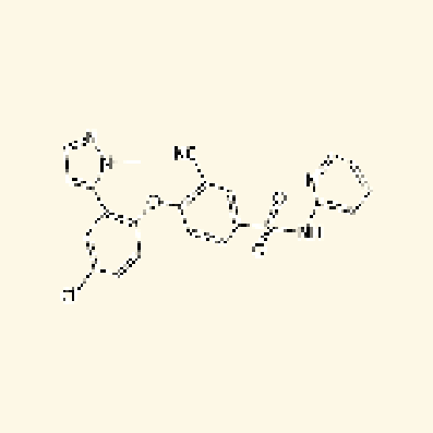 Cn1nccc1-c1cc(Cl)ccc1Oc1ccc(S(=O)(=O)Nc2ccccn2)cc1C#N